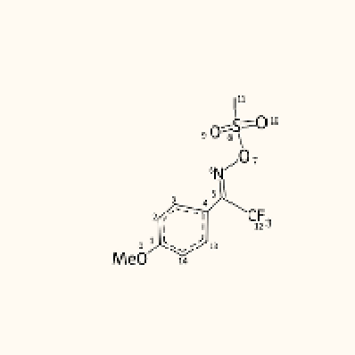 COc1ccc(C(=NOS(=O)(=O)I)C(F)(F)F)cc1